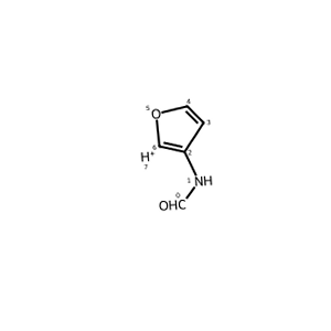 O=CNc1ccoc1.[H+]